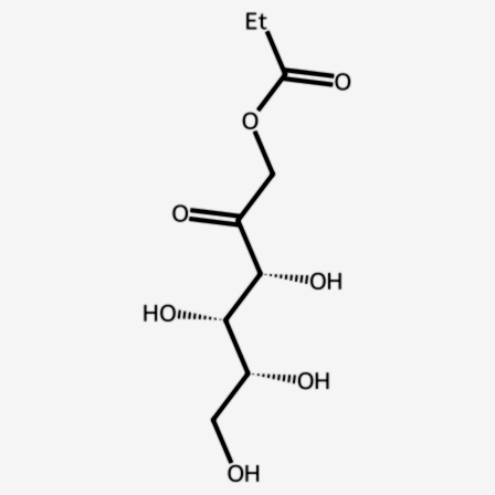 CCC(=O)OCC(=O)[C@H](O)[C@@H](O)[C@H](O)CO